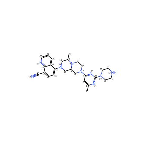 Cc1cc(N2CCN3C(C)CN(c4ccc(C#N)c5ncccc45)CC3C2)nc(N2CCNCC2)n1